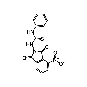 O=C1c2cccc([N+](=O)[O-])c2C(=O)N1NC(=S)Nc1ccccc1